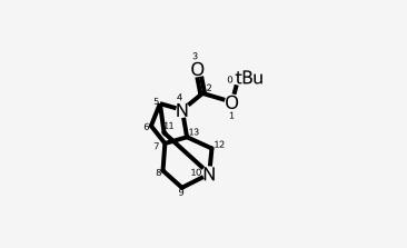 CC(C)(C)OC(=O)N1C2CC3CCN(C2)CC31